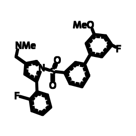 CNCc1cc(-c2ccccc2F)n(S(=O)(=O)c2cccc(-c3cc(F)cc(OC)c3)c2)c1